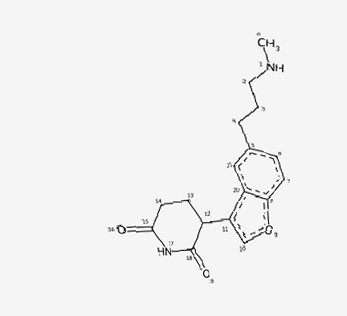 CNCCCc1ccc2occ(C3CCC(=O)NC3=O)c2c1